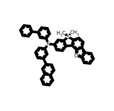 CS1(C)c2cc(N(c3cccc(-c4ccccc4)c3)c3cccc(-c4ccc5ccccc5c4)c3)ccc2-c2c1ccc1c2oc2ccccc21